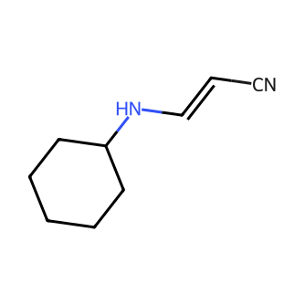 N#C/C=C/NC1CCCCC1